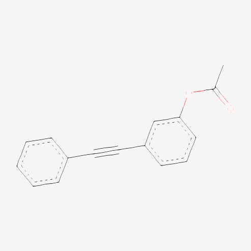 CC(=O)Oc1cccc(C#Cc2ccccc2)c1